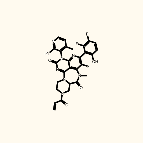 C=CC(=O)N1CCN2c3nc(=O)n(-c4c(C)ccnc4C(C)C)c4nc(-c5c(O)ccc(F)c5F)c(F)c(c34)N(C)C(=O)C2C1